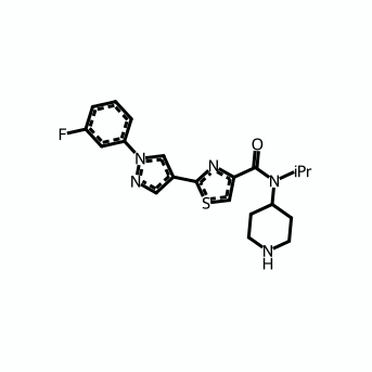 CC(C)N(C(=O)c1csc(-c2cnn(-c3cccc(F)c3)c2)n1)C1CCNCC1